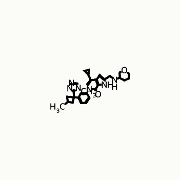 CC1CC(c2cccc(-n3cc(C4CC4)c4cc(CNC5CCCOC5)[nH]c4c3=O)c2)(c2nncn2C)C1